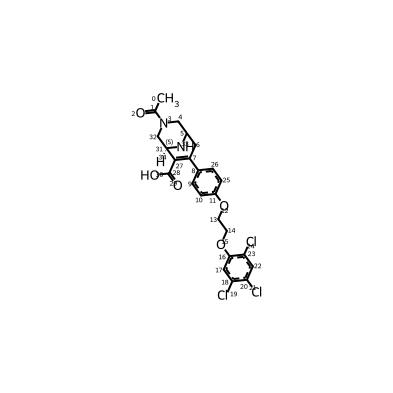 CC(=O)N1CC2CC(c3ccc(OCCOc4cc(Cl)c(Cl)cc4Cl)cc3)=C(C(=O)O)[C@@H](C1)N2